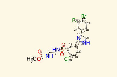 COC(=O)NCCNS(=O)(=O)c1cc(-c2nc(-c3ccc(Br)c(F)c3)c[nH]2)ccc1Cl